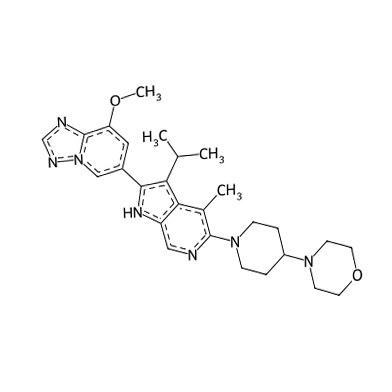 COc1cc(-c2[nH]c3cnc(N4CCC(N5CCOCC5)CC4)c(C)c3c2C(C)C)cn2ncnc12